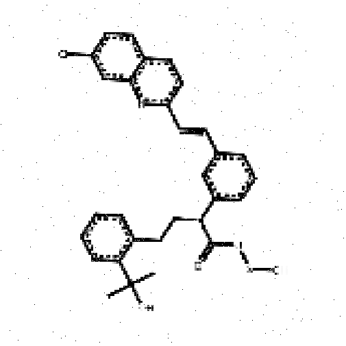 CC(C)(O)c1ccccc1CC[C@H](C(=O)OSO)c1cccc(/C=C/c2ccc3ccc(Cl)cc3n2)c1